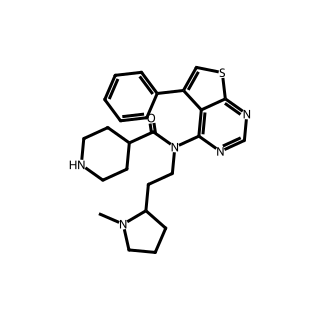 CN1CCCC1CCN(C(=O)C1CCNCC1)c1ncnc2scc(-c3ccccc3)c12